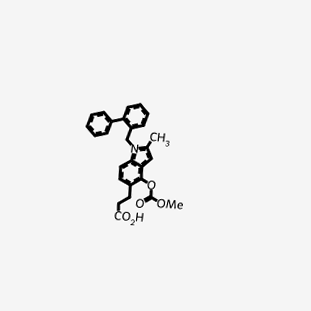 COC(=O)Oc1c(CCC(=O)O)ccc2c1cc(C)n2Cc1ccccc1-c1ccccc1